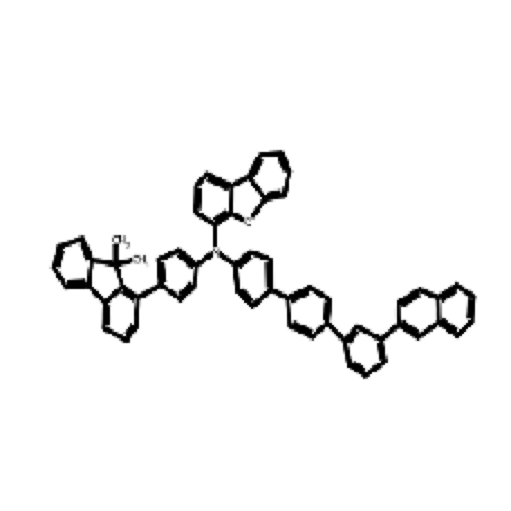 CC1(C)c2ccccc2-c2cccc(-c3ccc(N(c4ccc(-c5ccc(-c6cccc(-c7ccc8ccccc8c7)c6)cc5)cc4)c4cccc5c4oc4ccccc45)cc3)c21